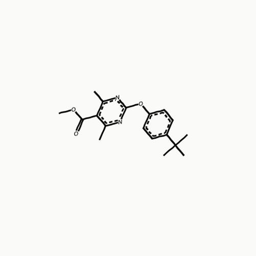 COC(=O)c1c(C)nc(Oc2ccc(C(C)(C)C)cc2)nc1C